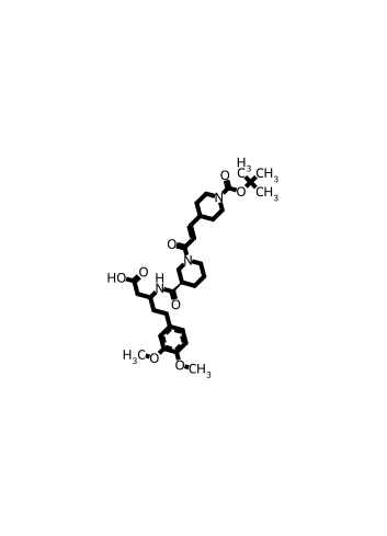 COc1ccc(CCC(CC(=O)O)NC(=O)[C@@H]2CCCN(C(=O)/C=C/C3CCN(C(=O)OC(C)(C)C)CC3)C2)cc1OC